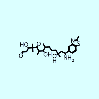 Cc1nc2cc(C(N)CC(C)(O)CCCC(C)C(O)C(C)C(=O)C(C)(C)C(O)CC=O)ccc2s1